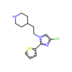 Clc1cn(CCC2CCNCC2)c(-c2cccs2)n1